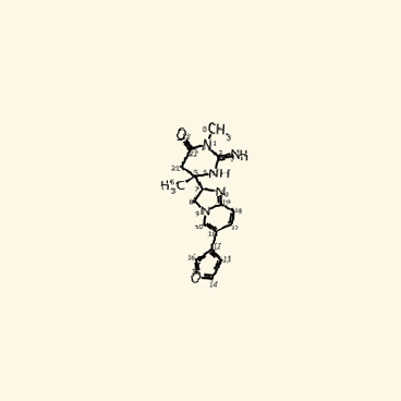 CN1C(=N)N[C@](C)(C2CN3C=C(c4ccoc4)C=CC3=N2)CC1=O